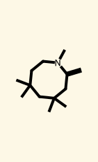 C=C1CC(C)(C)CC(C)(C)CCN1C